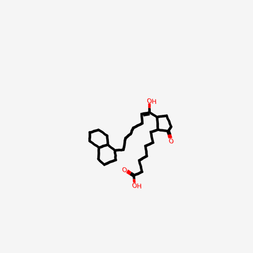 O=C(O)CCCCCCC1C(=O)CCC1/C(O)=C\CCCCCC1CCCC2CCCCC12